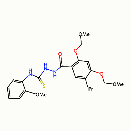 COCOc1cc(OCOC)c(C(C)C)cc1C(=O)NNC(=S)Nc1ccccc1OC